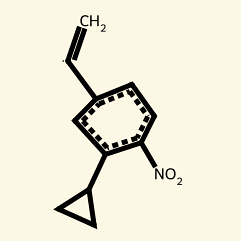 C=[C]c1ccc([N+](=O)[O-])c(C2CC2)c1